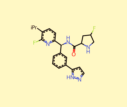 CC(C)c1ccc([C@@H](NC(=O)C2CC(F)CN2)c2cccc(-c3ccn[nH]3)c2)nc1F